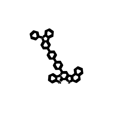 c1ccc(-n2c3ccccc3c3cc(-c4ccc(-c5ccc(-c6cc7c(sc8ccc9ccccc9c87)c7nc8ccccc8n67)cc5)cc4)ccc32)cc1